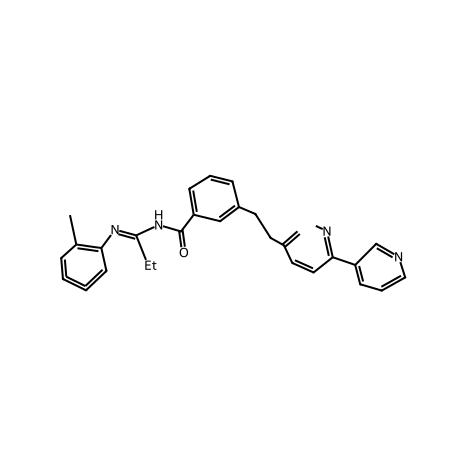 C=C(/C=C\C(=N/C)c1cccnc1)CCc1cccc(C(=O)N/C(CC)=N/C2=C(C)C=C=C=C2)c1